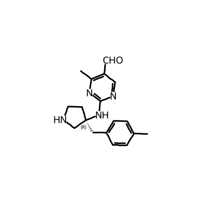 Cc1ccc(C[C@@]2(Nc3ncc(C=O)c(C)n3)CCNC2)cc1